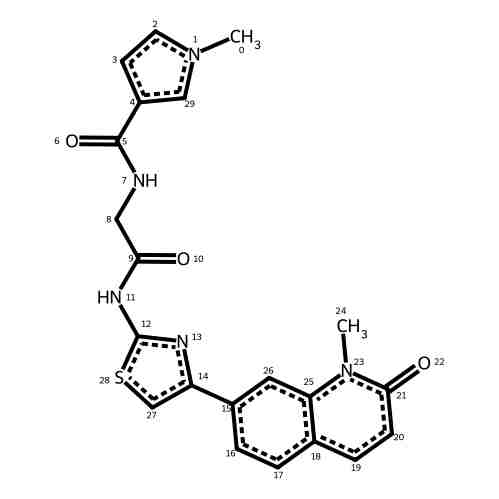 Cn1ccc(C(=O)NCC(=O)Nc2nc(-c3ccc4ccc(=O)n(C)c4c3)cs2)c1